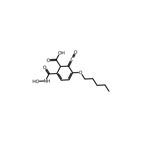 CCCCCOC1=CC=C(C(=O)NO)C(C(=O)O)C1=C=O